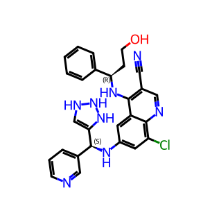 N#Cc1cnc2c(Cl)cc(N[C@H](C3=CNNN3)c3cccnc3)cc2c1N[C@H](CCO)c1ccccc1